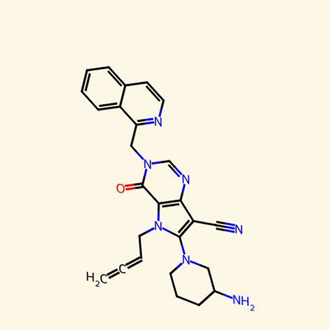 C=C=CCn1c(N2CCCC(N)C2)c(C#N)c2ncn(Cc3nccc4ccccc34)c(=O)c21